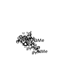 CC[C@H](C)[C@@H]([C@@H](CC(=O)N1CCC[C@H]1[C@H](OC)[C@@H](C)C(=O)N[C@@H](Cc1ccccc1)C(=O)OC)OC)N(C)C(=O)C(CNC(=O)[C@@H](NC)C(C)C)C(C)C